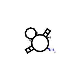 NC1CCCC2C3CCC3C2C[C@@H]2CCCCCCC[C@@H]2CC2C3CCC3[C@@H]2CC1